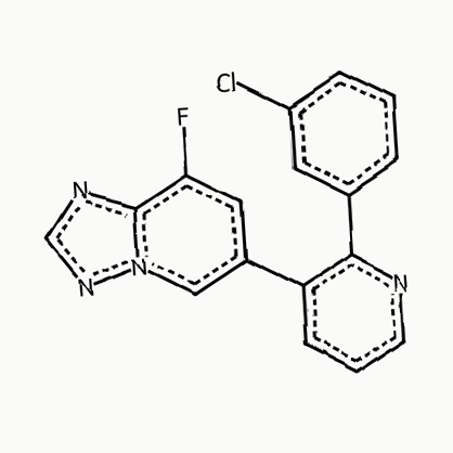 Fc1cc(-c2cccnc2-c2cccc(Cl)c2)cn2ncnc12